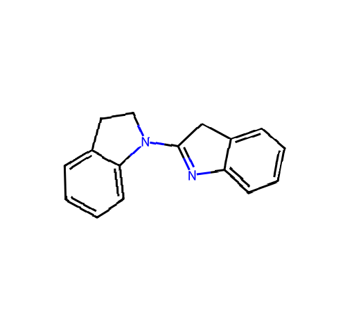 c1ccc2c(c1)CC(N1CCc3ccccc31)=N2